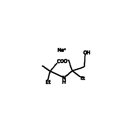 CCC(C)(CO)NC(C)(CC)C(=O)[O-].[Na+]